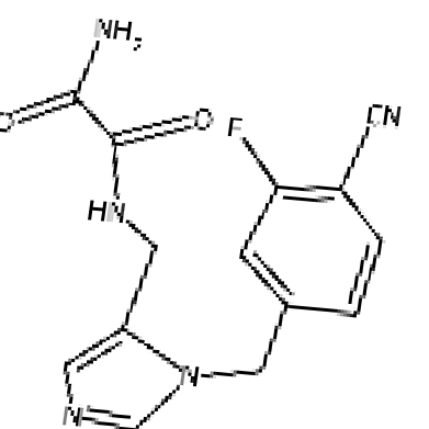 N#Cc1ccc(Cn2cncc2CNC(=O)C(N)=O)cc1F